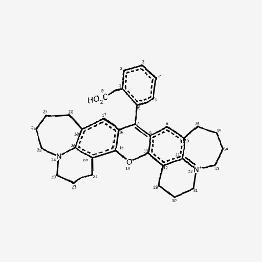 O=C(O)c1ccccc1C1=c2cc3c4c(c2Oc2c1cc1c5c2CCCN5CCCC1)CCC[N+]=4CCCC3